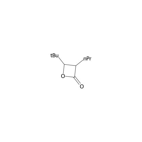 CCCC1C(=O)OC1C(C)(C)C